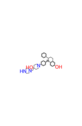 Oc1ccc2c(c1)CCC(c1ccccc1)[C@@H]2c1ccc(N2CCC(O)(CN3CCNCC3)CC2)cc1